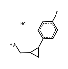 Cl.NCC1CC1c1ccc(F)cc1